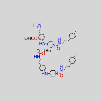 Cc1ccc(CCCNC(=O)N2CCC(Nc3ccc(CCN)cc3)CC2)cc1.Cc1ccc(CCCNC(=O)N2CCC(Nc3ccc(CCNC(=O)OC(C)(C)C)cc3)CC2)cc1.O=CO